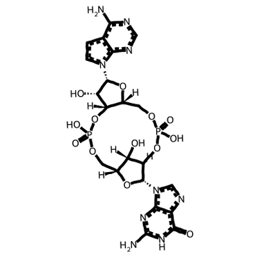 Nc1nc2c(ncn2[C@@H]2O[C@@H]3COP(=O)(O)O[C@@H]4[C@H](O)[C@H](n5ccc6c(N)ncnc65)O[C@@H]4COP(=O)(O)O[C@H]2[C@H]3O)c(=O)[nH]1